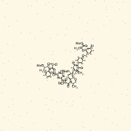 CC1COc2ccccc2N1C(=O)C(Cl)Cl.CCNc1nc(Cl)nc(NC(C)C)n1.CCc1ccc(COc2ccc(-n3c(=O)cc(C(F)(F)F)n(C)c3=O)cc2)c(OC(C)C(=O)OC)c1.CCc1cccc(C)c1N(C(=O)CCl)C(C)COC